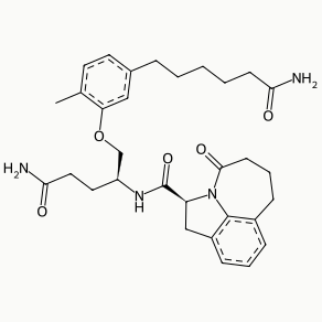 Cc1ccc(CCCCCC(N)=O)cc1OC[C@H](CCC(N)=O)NC(=O)[C@@H]1Cc2cccc3c2N1C(=O)CCC3